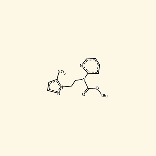 CC(C)(C)OC(=O)N(CCn1nccc1[N+](=O)[O-])c1ccccn1